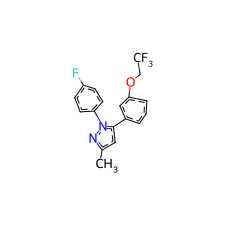 Cc1cc(-c2cccc(OCC(F)(F)F)c2)n(-c2ccc(F)cc2)n1